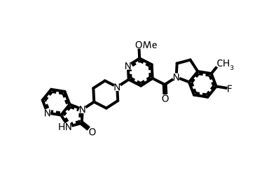 COc1cc(C(=O)N2CCc3c2ccc(F)c3C)cc(N2CCC(n3c(=O)[nH]c4ncccc43)CC2)n1